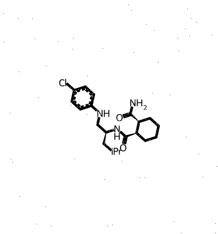 CC(C)C[C@@H](CNc1ccc(Cl)cc1)NC(=O)[C@@H]1CCCC[C@@H]1C(N)=O